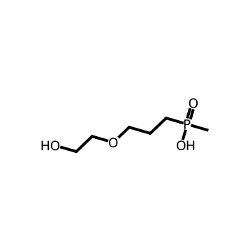 CP(=O)(O)CCCOCCO